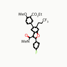 CCOC(=O)c1cc(-c2cc3c(C(=O)NC)c(-c4ccc(F)cc4)oc3cc2CCC(F)(F)F)ccc1OC